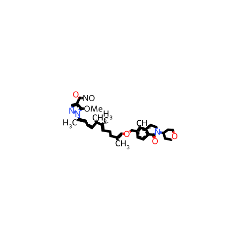 C=C(/C=C\C=C(/C)n1ncc(C(=O)N=O)c1OC)/C(C)=C/CC/C(C)=C/OCc1ccc2c(c1C)CCN(C1CCOCC1)C2=O